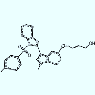 Cc1ccc(S(=O)(=O)n2c(-c3cn(C)c4ccc(OCCCO)cc34)cc3cccnc32)cc1